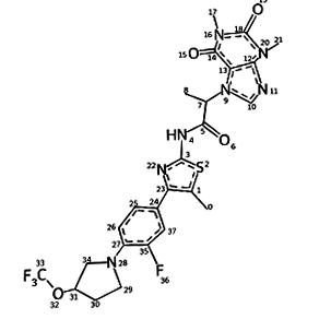 Cc1sc(NC(=O)C(C)n2cnc3c2c(=O)n(C)c(=O)n3C)nc1-c1ccc(N2CCC(OC(F)(F)F)C2)c(F)c1